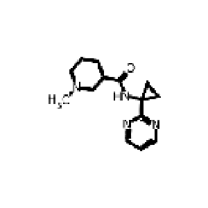 CN1CCCC(C(=O)NC2(c3ncccn3)CC2)C1